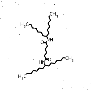 CCCCCCCC(CCCCCCC)NC(=O)CCCCC(=O)NC(CCCCCCC)CCCCCCC